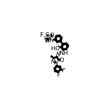 CC1=NN(c2ccc(F)c(F)c2)C(=O)C1=NNc1cccc(-c2cccc(NS(=O)(=O)C(F)(F)F)c2)c1O